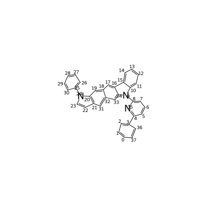 c1ccc(-c2cccc(-n3c4ccccc4c4cc5cc6c(ccn6-c6ccccc6)cc5cc43)n2)cc1